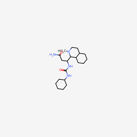 NC(=O)CC(NC(=O)NC1CCCCC1)C1C2CCCCC2CCN1C(=O)O